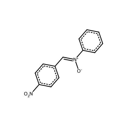 O=[N+]([O-])c1ccc(C=[N+]([O-])c2ccccc2)cc1